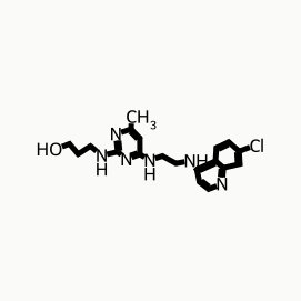 Cc1cc(NCCNc2ccnc3cc(Cl)ccc23)nc(NCCCO)n1